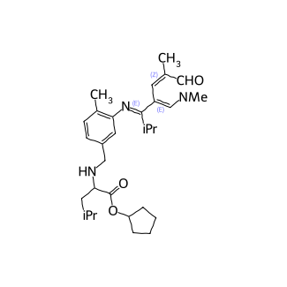 CN/C=C(\C=C(\C)C=O)C(=N/c1cc(CNC(CC(C)C)C(=O)OC2CCCC2)ccc1C)/C(C)C